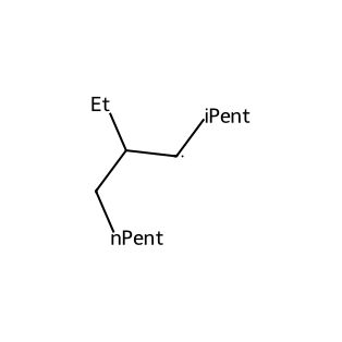 CCCCCCC([CH]C(C)CCC)CC